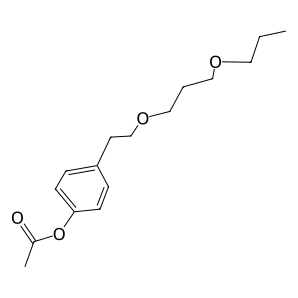 CCCOCCCOCCc1ccc(OC(C)=O)cc1